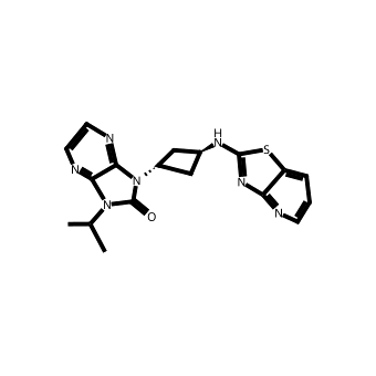 CC(C)n1c(=O)n([C@H]2C[C@H](Nc3nc4ncccc4s3)C2)c2nccnc21